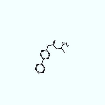 C=C(Cc1ccc(-c2ccccc2)cc1)CC(C)N